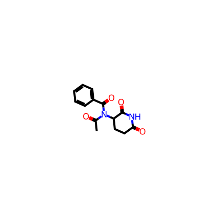 CC(=O)N(C(=O)c1ccccc1)C1CCC(=O)NC1=O